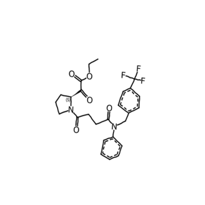 CCOC(=O)C(=O)[C@@H]1CCCN1C(=O)CCC(=O)N(Cc1ccc(C(F)(F)F)cc1)c1ccccc1